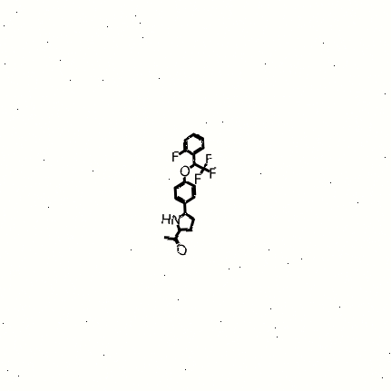 CC(=O)C1CCC(c2ccc(OC(c3ccccc3F)C(F)(F)F)cc2)N1